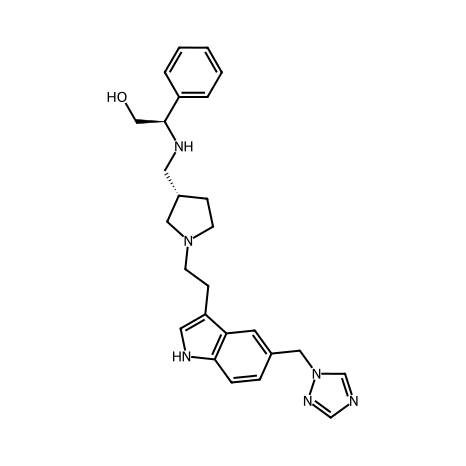 OC[C@H](NC[C@@H]1CCN(CCc2c[nH]c3ccc(Cn4cncn4)cc23)C1)c1ccccc1